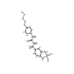 CCCCCc1ccc(NC(=S)NC(=O)c2ccc3c(c2)OC(F)(F)O3)cc1